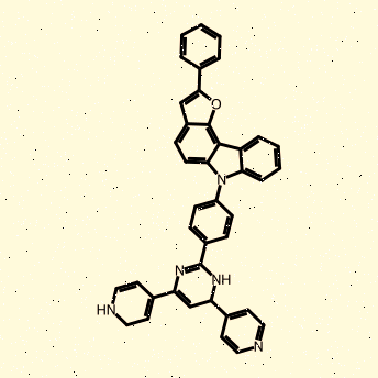 C1=CC(C2=CC(c3ccncc3)NC(c3ccc(-n4c5ccccc5c5c6oc(-c7ccccc7)cc6ccc54)cc3)=N2)=CCN1